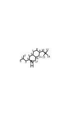 CC(C)CC1CC2CCC(CC(C)(C)C)CC2CN1